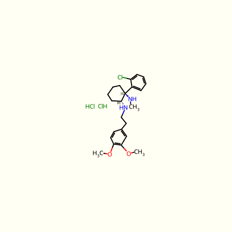 CN[C@]1(c2ccccc2Cl)CCCC[C@H]1NCCc1ccc(OC)c(OC)c1.Cl.Cl